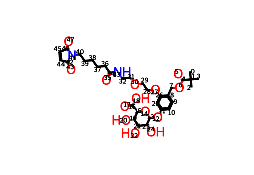 CC(C)(C)C(=O)OCc1ccc(O[C@@H]2O[C@H](C(=O)O)[C@@H](O)[C@H](O)[C@H]2O)cc1OCCOCCNC(=O)CCCCCN1C(=O)C=CC1=O